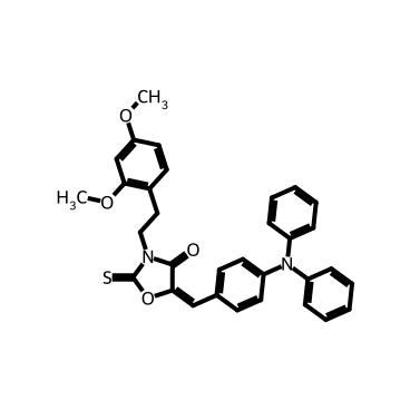 COc1ccc(CCN2C(=O)/C(=C\c3ccc(N(c4ccccc4)c4ccccc4)cc3)OC2=S)c(OC)c1